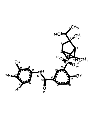 CC(O)[C@@]1(O)CC2C[C@H](C)C1[C@@H]2S(=O)(=O)c1cc(C(=O)Nc2cc(F)c(F)c(F)c2)ccc1Cl